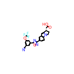 N#Cc1cc(OC(F)(F)F)cc(-c2nc(-c3ccc4c(c3)cc3n4CC[C@H]3CC(=O)O)no2)c1